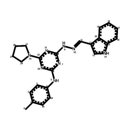 Cc1ccc(Nc2nc(N/N=C/c3c[nH]c4ccccc34)nc(N3CCCC3)n2)cc1